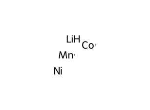 [Co].[LiH].[Mn].[Ni]